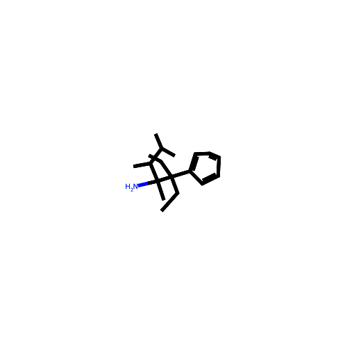 CCC(CC)(c1ccccc1)C(C)(N)C(C)C(C)C